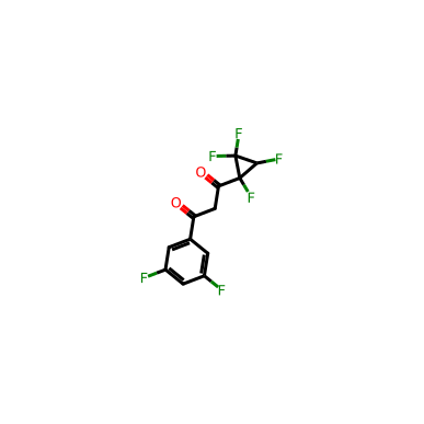 O=C(CC(=O)C1(F)C(F)C1(F)F)c1cc(F)cc(F)c1